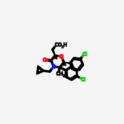 CC1(c2ccc(Cl)cc2)[C@@H](c2cccc(Cl)c2)O[C@H](CC(=O)O)C(=O)N1CC1CC1